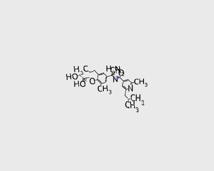 C=C(/N=C(\ON)c1cc(C)nc(CC(C)C)c1)c1cc(C)c(OC[C@@H](O)CO)c(CCC)c1